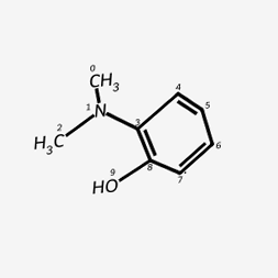 CN(C)c1ccc[c]c1O